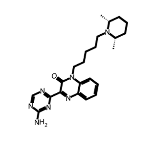 C[C@@H]1CCC[C@H](C)N1CCCCCn1c(=O)c(-c2ncnc(N)n2)nc2ccccc21